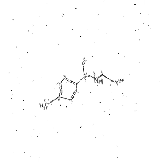 CCCCCCCN[S+]([O-])c1ccc(C)cc1